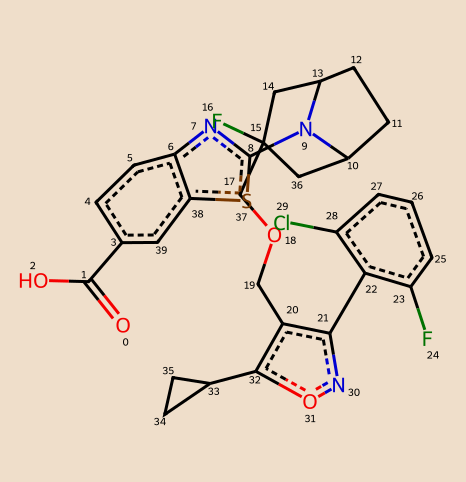 O=C(O)c1ccc2nc(N3C4CCC3CC(F)(COCc3c(-c5c(F)cccc5Cl)noc3C3CC3)C4)sc2c1